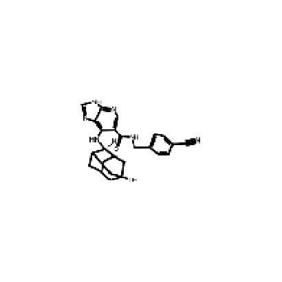 N#Cc1ccc(CNC(=O)c2cnc3[nH]cnc3c2N[C@H]2C3CC4CC2C[C@@](O)(C4)C3)cc1